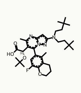 Cc1nc2cc(N(CCC(C)(C)C)CCC(C)(C)C)nn2c(-c2cc(F)c3c(c2C)CCCO3)c1[C@H](OC(C)(C)C)C(=O)O